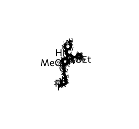 CCc1ccc(-c2cc(NC3CCN(C)CC3)c3cc(OC)c(OCCCN4CCC(F)(F)C4)cc3n2)o1